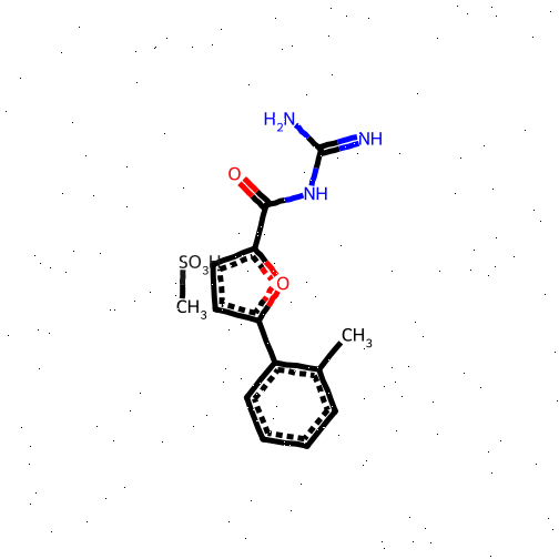 CS(=O)(=O)O.Cc1ccccc1-c1ccc(C(=O)NC(=N)N)o1